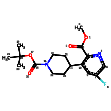 COC(=O)c1ncc(F)cc1C1CCN(C(=O)OC(C)(C)C)CC1